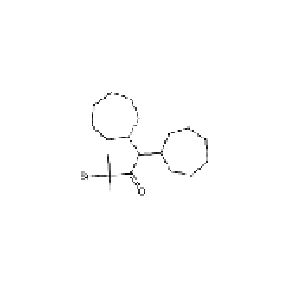 CC(C)(Br)C(=O)C(C1CCCCCC1)C1CCCCCC1